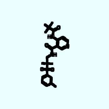 Cc1cccc(S(=O)(=O)C(C)(C)CNC(=O)c2cnccc2NC(=O)C(C)(C)C)c1